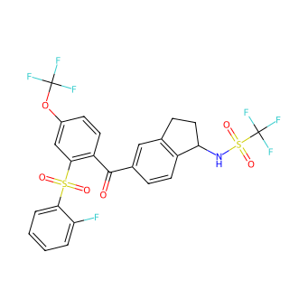 O=C(c1ccc2c(c1)CCC2NS(=O)(=O)C(F)(F)F)c1ccc(OC(F)(F)F)cc1S(=O)(=O)c1ccccc1F